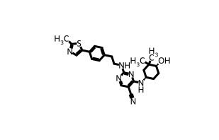 Cc1ncc(-c2ccc(CCNc3ncc(C#N)c(N[C@@H]4CC[C@H](O)C(C)(C)C4)n3)cc2)s1